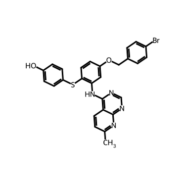 Cc1ccc2c(Nc3cc(OCc4ccc(Br)cc4)ccc3Sc3ccc(O)cc3)ncnc2n1